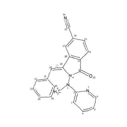 CN(c1ccccn1)N1C(=O)c2ccc(C#N)cc2/C1=C/c1ccccc1